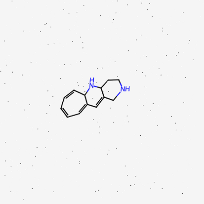 C1=CC=C2C=C3CNCCC3NC2C=C1